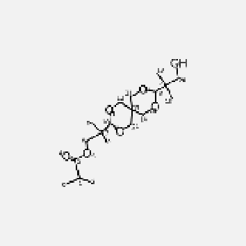 CC(C)C(=O)OCC(C)(C)C1OCC2(COC(C(C)(C)CO)OC2)CO1